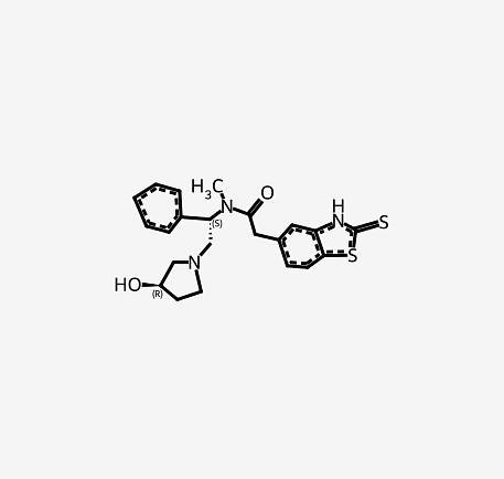 CN(C(=O)Cc1ccc2sc(=S)[nH]c2c1)[C@H](CN1CC[C@@H](O)C1)c1ccccc1